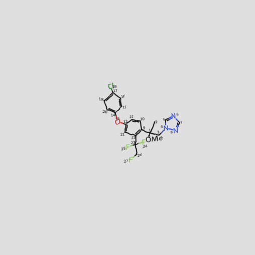 COC(C)(Cn1cncn1)c1ccc(Oc2ccc(Cl)cc2)cc1C(F)(F)CF